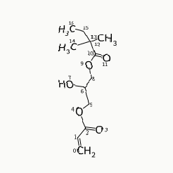 C=CC(=O)OCC(O)COC(=O)C(C)(C)CC